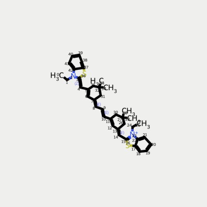 CCN1/C(=C/C2=CC(=C/C=C/C3=CC(=C/c4sc5ccccc5[n+]4CC)/CC(C)(C)C3)/CC(C)(C)C2)Sc2ccccc21